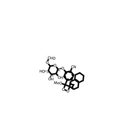 COC1(c2ccc(C#N)c(O[C@@H]3OC(OC=O)[C@@H](O)[C@H](O)C3O)c2)OOC12C1CCCC2C2=C(CCCC2)C1